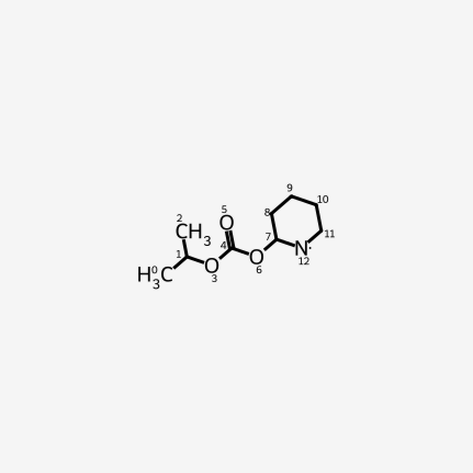 CC(C)OC(=O)OC1CCCC[N]1